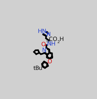 CC(C)(C)c1ccc(Oc2ccc3cc(C(=O)N[C@@H](Cc4c[nH]cn4)C(=O)O)nc(CC4CCCC4)c3c2)cc1